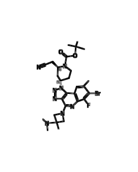 Cc1cc2c(nc(N3CC(C)(N(C)C)C3)c3nnn([C@H]4CCN(C(=O)OC(C)(C)C)[C@H](CC#N)C4)c32)c(F)c1Br